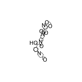 O=C(C(O)c1cccc(N2CCC3(CC2)COC3)c1)N1CC2=C(C1)CN(S(=O)(=O)c1cnc3c(c1)OCCO3)C2